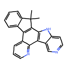 CC1(C)c2ccccc2-c2c1c1[nH]c3ccncc3c1c1ncccc21